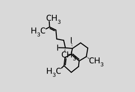 CC(C)=CCC[C@](C)(I)[C@@]1(I)CC[C@H](C)C2=C1C=C(C)CC2